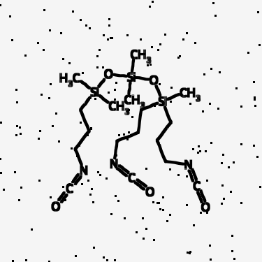 C[Si](C)(CCCN=C=O)O[Si](C)(C)O[Si](C)(CCCN=C=O)CCCN=C=O